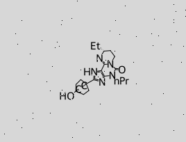 CCCN1C(=O)N2CC[C@@H](CC)N=C2c2[nH]c(C34CCC(O)(CC3)CC4)nc21